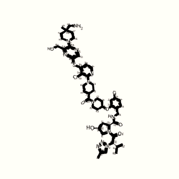 Cc1cn([C@H](C(=O)N2C[C@H](O)C[C@H]2C(=O)NCc2ccc(Cl)cc2OC2CCN(C(=O)C3CCN(c4nccc(Sc5cnc(N6CCC(C)(CN)CC6)c(CO)n5)c4Cl)CC3)CC2)C(C)C)nn1